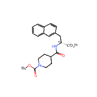 CC(C)(C)OC(=O)N1CCC(C(=O)N[C@H](Cc2ccc3ccccc3c2)C(=O)O)CC1